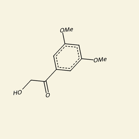 COc1cc(OC)cc(C(=O)CO)c1